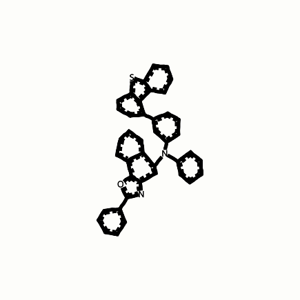 c1ccc(-c2nc3cc(N(c4ccccc4)c4cccc(-c5cccc6sc7ccccc7c56)c4)c4ccccc4c3o2)cc1